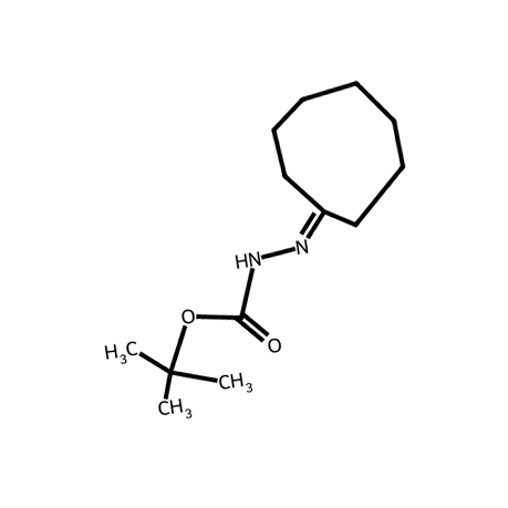 CC(C)(C)OC(=O)NN=C1CCCCCCC1